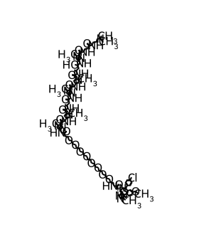 COc1ccc2c(c1)C(c1ccc(Cl)cc1)=N[C@@H](CC(=O)NCCOCCOCCOCCOCCOCCOCCOCCOCCC(=O)Nc1cn(C)c(C(=O)Nc3cc(C(=O)NCCC(=O)Nc4cn(C)c(C(=O)Nc5cc(C(=O)NCCC(O)Nc6cn(C)c(C(=O)NCCC(=O)NCCCN(C)C)n6)n(C)c5)n4)n(C)c3)n1)c1nnc(C)n1-2